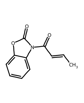 C/C=C/C(=O)n1c(=O)oc2ccccc21